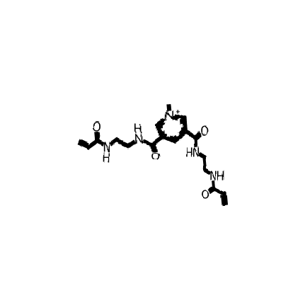 C=CC(=O)NCCNC(=O)c1cc(C(=O)NCCNC(=O)C=C)c[n+](C)c1